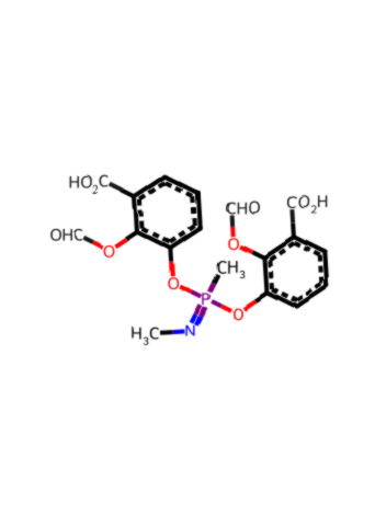 CN=P(C)(Oc1cccc(C(=O)O)c1OC=O)Oc1cccc(C(=O)O)c1OC=O